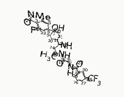 CNC(=O)c1ccc(C2(O)CCC(C(=N)C[C@@H](C)NC(=O)CNC(=O)c3cccc(C(F)(F)F)c3)CC2)cc1F